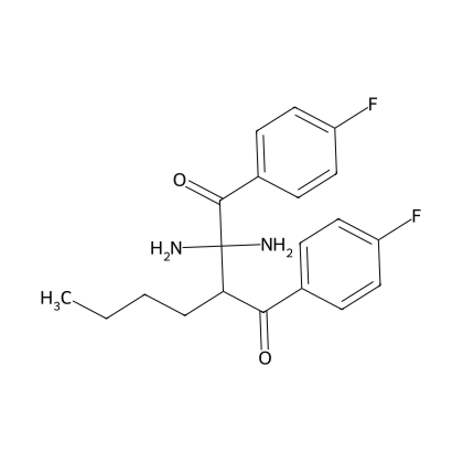 CCCCC(C(=O)c1ccc(F)cc1)C(N)(N)C(=O)c1ccc(F)cc1